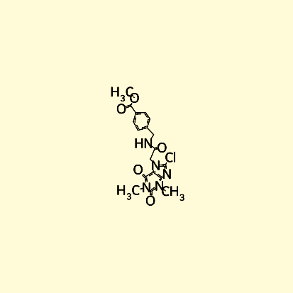 COC(=O)c1ccc(CNC(=O)Cn2c(Cl)nc3c2c(=O)n(C)c(=O)n3C)cc1